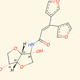 O=C(C=C(c1ccoc1)c1ccoc1)N[C@@]1(O)CO[C@@H]2[C@H](O)CO[C@@H]21